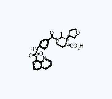 CC1[C@@H]([C@H]2CCOC2)N(C(=O)O)CCN1C(=O)c1ccc(NS(=O)(=O)c2cccc3cccnc23)cc1